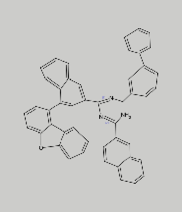 N/C(=N\C(=N/Cc1cccc(-c2ccccc2)c1)c1cc(-c2cccc3oc4ccccc4c23)c2ccccc2c1)c1ccc2ccccc2c1